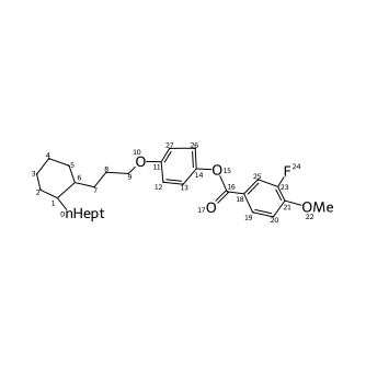 CCCCCCCC1CCCCC1CCCOc1ccc(OC(=O)c2ccc(OC)c(F)c2)cc1